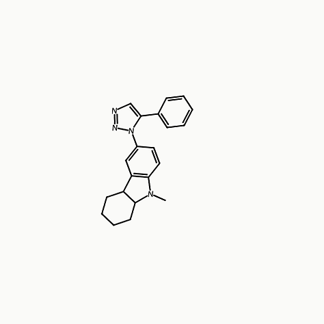 CN1c2ccc(-n3nncc3-c3ccccc3)cc2C2CCCCC21